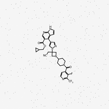 N#CCC1(n2cc(-c3c(C(=O)OCC4CC4)cnc4[nH]ccc34)cn2)CN(C2CCN(C(=O)c3ccnc(C(F)(F)F)c3F)CC2)C1